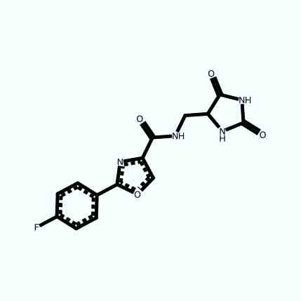 O=C1NC(=O)C(CNC(=O)c2coc(-c3ccc(F)cc3)n2)N1